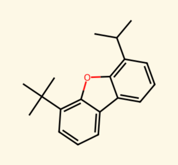 CC(C)c1cccc2c1oc1c(C(C)(C)C)cccc12